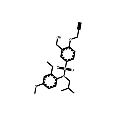 C#CCOc1ccc(S(=O)(=O)N(CC(C)C)c2ccc(SC)cc2CC)cc1CO